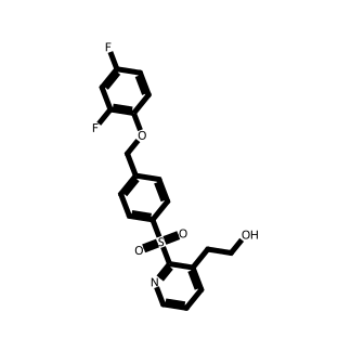 O=S(=O)(c1ccc(COc2ccc(F)cc2F)cc1)c1ncccc1CCO